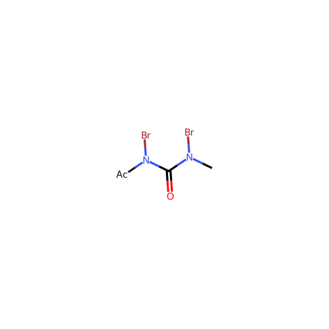 CC(=O)N(Br)C(=O)N(C)Br